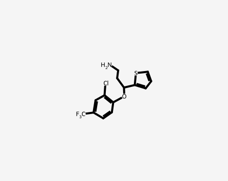 NCCC(Oc1ccc(C(F)(F)F)cc1Cl)c1cccs1